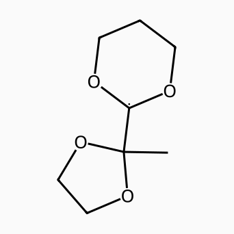 CC1([C]2OCCCO2)OCCO1